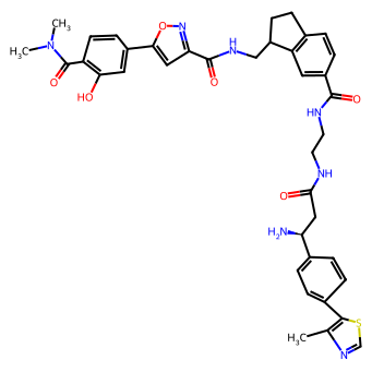 Cc1ncsc1-c1ccc([C@@H](N)CC(=O)NCCNC(=O)c2ccc3c(c2)C(CNC(=O)c2cc(-c4ccc(C(=O)N(C)C)c(O)c4)on2)CC3)cc1